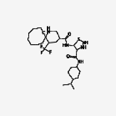 CC(C)C1CCC(NC(=O)C2NNSC2NC(=O)C2CNC3(CCCCCCCC3)C(C(F)(F)F)C2)CC1